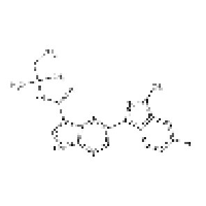 Cn1nc(-c2cnc3[nH]cc(C(=O)NC(C)(C)CN)c3n2)c2ccc(Cl)cc21